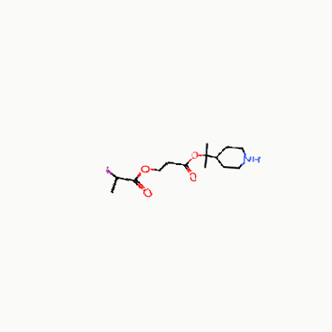 CC(I)C(=O)OCCC(=O)OC(C)(C)C1CCNCC1